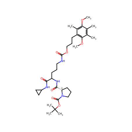 COc1c(C)c(C)c(OC)c(CCCOC(=O)NCCCC(NC(=O)[C@@H]2CCCN2C(=O)OC(C)(C)C)C(=O)NC2CC2)c1C